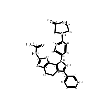 CC(=O)Nc1nc2c(s1)-c1c(c(-c3cccnc3)nn1-c1ccc(N3CCNC(=O)C3)nc1)CC2